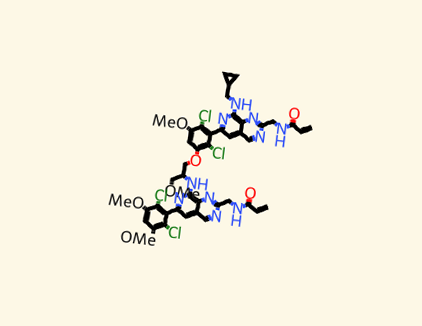 C=CC(=O)NCc1ncc2cc(-c3c(Cl)c(OC)cc(OCC(COC)Nc4nc(-c5c(Cl)c(OC)cc(OC)c5Cl)cc5cnc(CNC(=O)C=C)nc45)c3Cl)nc(NCC3CC3)c2n1